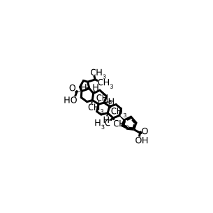 CC(C)C1CC[C@]2(C(=O)O)CC[C@]3(C)[C@H](CC[C@@H]4[C@@]5(C)CC[C@@H](c6ccc(C(=O)O)cc6)C(C)(C)[C@@H]5CC[C@]43C)[C@@H]12